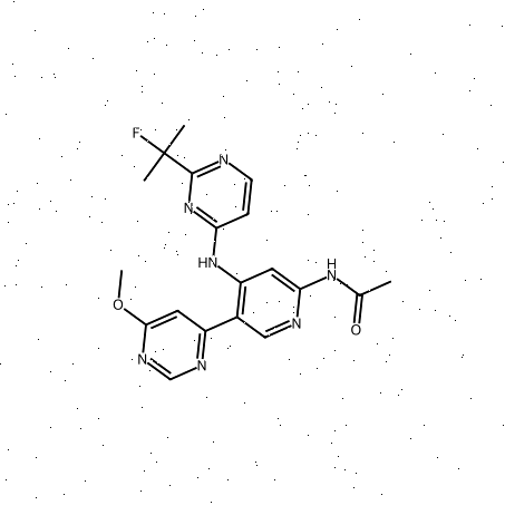 COc1cc(-c2cnc(NC(C)=O)cc2Nc2ccnc(C(C)(C)F)n2)ncn1